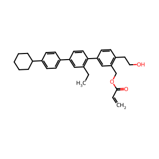 C=CC(=O)OCc1cc(-c2ccc(-c3ccc(C4CCCCC4)cc3)cc2CC)ccc1CCO